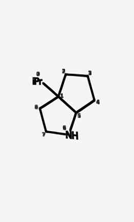 CC(C)C12CCCC1NCC2